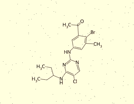 CCC(CC)Nc1nc(Nc2cc(C)c(Br)c(C(C)=O)c2)ncc1Cl